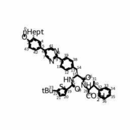 CCCCCCCOc1ccc(-c2cnc(-c3ccc(C[C@H](NC(=O)c4ccc(C(C)(C)C)s4)C(=O)NC(C(=O)O)C(C)c4ccccc4)cc3)nc2)cc1